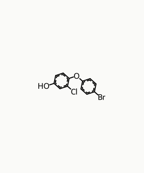 Oc1ccc(Oc2ccc(Br)cc2)c(Cl)c1